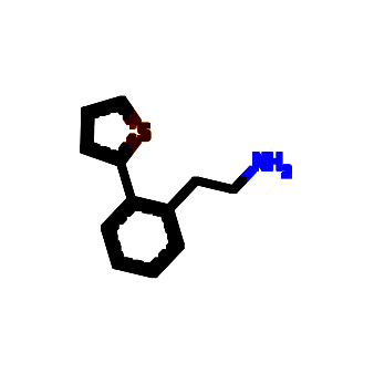 NCCc1ccccc1-c1cccs1